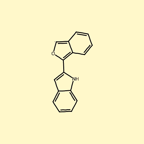 [c]1oc(-c2cc3ccccc3[nH]2)c2ccccc12